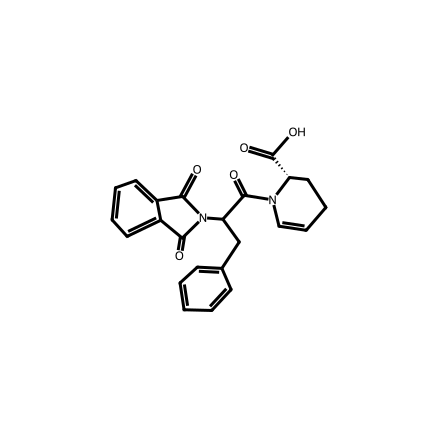 O=C(O)[C@@H]1CCC=CN1C(=O)C(Cc1ccccc1)N1C(=O)c2ccccc2C1=O